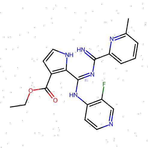 CCOC(=O)c1cc[nH]c1/C(=N\C(=N)c1cccc(C)n1)Nc1ccncc1F